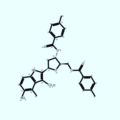 Cc1ccc(C(=O)OC[C@H]2O[C@@H](c3[nH]c4ccc([N+](=O)[O-])c(C)c4c3C(=O)O)C[C@@H]2OC(=O)c2ccc(C)cc2)cc1